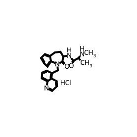 CNC(C)C(=O)NC1CCc2ccccc2N(Cc2cccc3ncccc23)C1=O.Cl